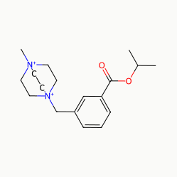 CC(C)OC(=O)c1cccc(C[N+]23CC[N+](C)(CC2)CC3)c1